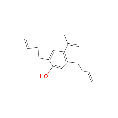 C=CCCc1cc(C(=C)C)c(CCC=C)cc1O